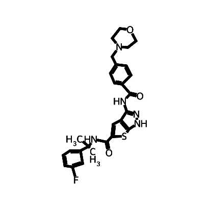 CC(C)(NC(=O)c1cc2c(NC(=O)c3ccc(CN4CCOCC4)cc3)n[nH]c2s1)c1cccc(F)c1